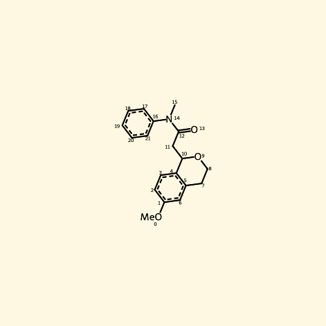 COc1ccc2c(c1)CCOC2CC(=O)N(C)c1ccccc1